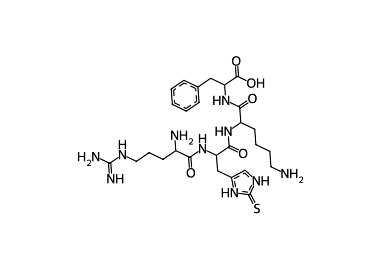 N=C(N)NCCCC(N)C(=O)NC(Cc1c[nH]c(=S)[nH]1)C(=O)NC(CCCCN)C(=O)NC(Cc1ccccc1)C(=O)O